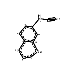 N#CNc1ccc2nccnc2c1